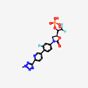 Cn1nnc(-c2ccc(-c3ccc(N4C[C@@H](C(OP(=O)(O)O)C(F)F)OC4=O)cc3F)cn2)n1